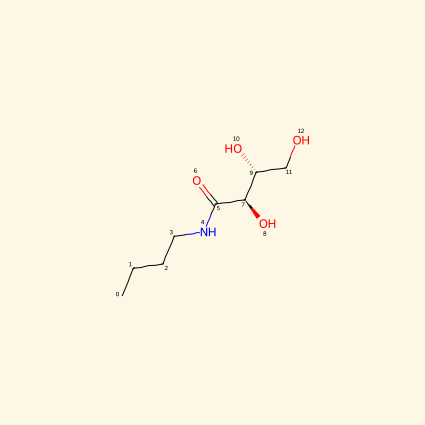 CCCCNC(=O)[C@H](O)[C@H](O)CO